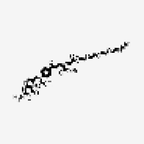 CC(C)COC(=O)[C@H](CCC(=O)NCCOCCOCCOCCN=[N+]=[N-])CCC(=O)c1ccc(N(Cc2cnc3nc(N)[nH]c(=O)c3n2)C(=O)C(F)(F)F)cc1